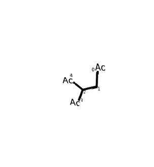 CC(=O)CC(C(C)=O)C(C)=O